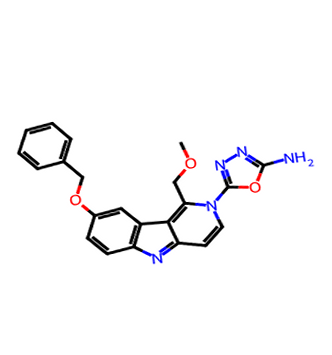 COCc1c2c3cc(OCc4ccccc4)ccc3nc-2ccn1-c1nnc(N)o1